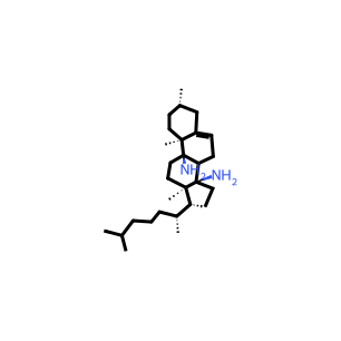 CC(C)CCC[C@@H](C)[C@H]1CC[C@@]2(N)C3CC=C4C[C@@H](C)CC[C@]4(C)[C@@]3(N)CC[C@]12C